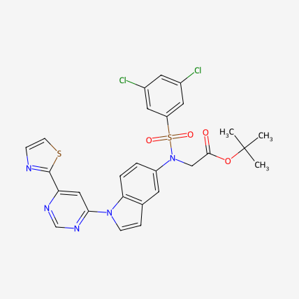 CC(C)(C)OC(=O)CN(c1ccc2c(ccn2-c2cc(-c3nccs3)ncn2)c1)S(=O)(=O)c1cc(Cl)cc(Cl)c1